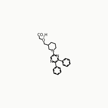 O=C(O)COCC1CCCN(c2cnc(-c3ccccc3)c(-c3ccccc3)n2)C1